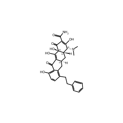 CN(C)[C@H]1C(O)=C(C(N)=O)C(=O)[C@@]2(O)C(O)=C3C(=O)c4c(O)ccc(CCc5ccccc5)c4C[C@@H]3C[C@@H]12